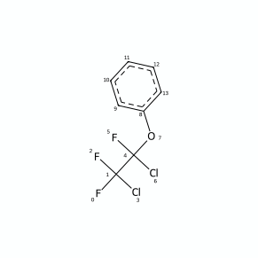 FC(F)(Cl)C(F)(Cl)Oc1ccccc1